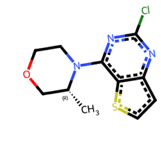 C[C@@H]1COCCN1c1nc(Cl)nc2ccsc12